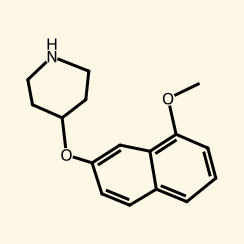 COc1cccc2ccc(OC3CCNCC3)cc12